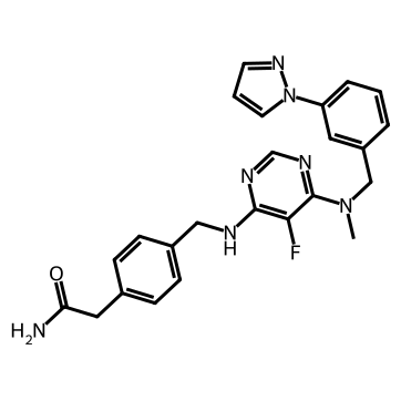 CN(Cc1cccc(-n2cccn2)c1)c1ncnc(NCc2ccc(CC(N)=O)cc2)c1F